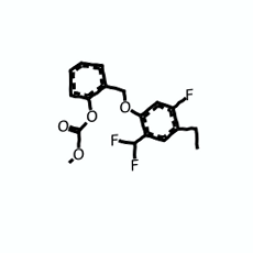 CCc1cc(C(F)F)c(OCc2ccccc2OC(=O)OC)cc1F